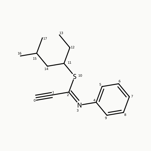 C#CC(=Nc1ccccc1)SC(CC)CC(C)C